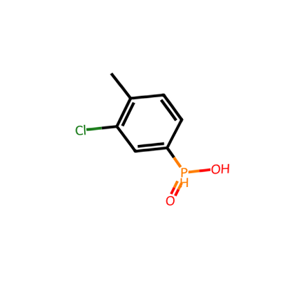 Cc1ccc([PH](=O)O)cc1Cl